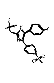 CS(=O)(=O)c1ccc(-c2nc(CC(F)(F)F)[nH]c2-c2ccc(F)cc2)cc1